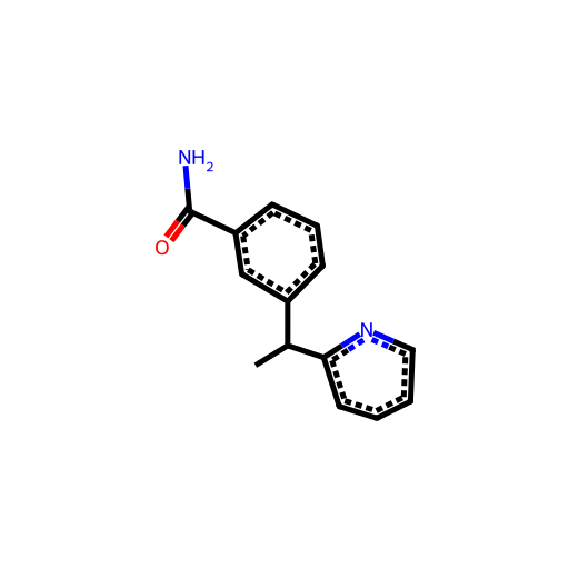 CC(c1cccc(C(N)=O)c1)c1ccccn1